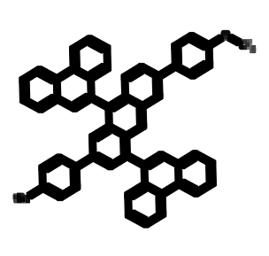 CC(C)(C)c1ccc(-c2cc(-c3cc4ccccc4c4ccccc34)c3cc4cc(-c5ccc(OC(F)(F)F)cc5)ccc4c(-c4cc5ccccc5c5ccccc45)c3c2)cc1